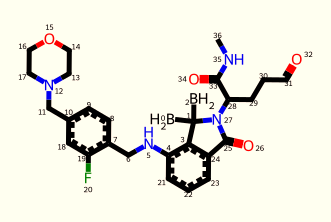 BC1(B)c2c(NCc3ccc(CN4CCOCC4)cc3F)cccc2C(=O)N1C(CCC=O)C(=O)NC